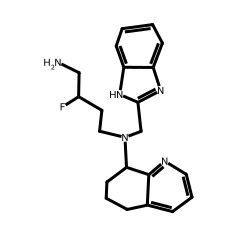 NCC(F)CCN(Cc1nc2ccccc2[nH]1)C1CCCc2cccnc21